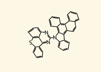 c1ccc2c(c1)Sc1cccc3nc(-n4c5ccccc5c5c6ccc7ccccc7c6c6ccccc6c54)nc-2c13